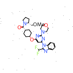 COC[C@H]1CCCN1C(=O)[C@H]1CC[C@H](Oc2cc(-n3c(C(F)F)nc4ccccc43)nc(N3CCOCC3)n2)CC1